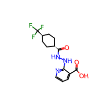 O=C(O)c1cccnc1NNC(=O)[C@H]1CC[C@H](C(F)(F)F)CC1